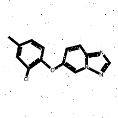 Cc1ccc(Oc2ccc3ncnn3c2)c(Cl)c1